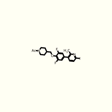 CC(=O)N1CCC(COc2c(F)cc(-c3ccc(I)nc3C)cc2F)CC1